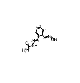 NC(=O)NN=Cc1ccccc1C=NO